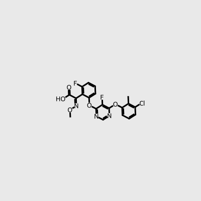 CON=C(C(=O)O)c1c(F)cccc1Oc1ncnc(Oc2cccc(Cl)c2C)c1F